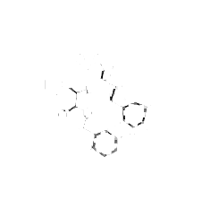 C=C(C)C(=O)OCc1ccccc1.O=C(O)C=CC=Cc1ccccc1